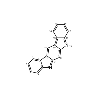 [c]1ccc2c(c1)N=c1cc3c(cc1-2)=c1ccccc1=N3